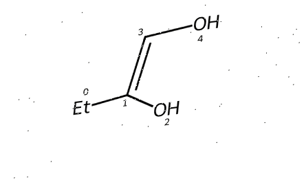 CC/C(O)=C/O